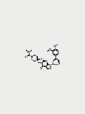 COc1ccc(C2=CN(n3ncc4c(=O)n(CC5(O)CCN(C(=O)N(C)C)CC5)cnc43)CN=C2)cc1OC